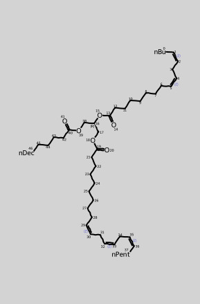 CCCC/C=C\C/C=C\CCCCCCCC(=O)O[C@@H](COC(=O)CCCCCCCC/C=C\C/C=C\C/C=C\CCCCC)COC(=O)CCCCCCCCCCCCCC